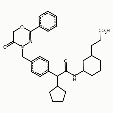 O=C(O)CCC1CCCC(NC(=O)C(c2ccc(CN3N=C(c4ccccc4)OCC3=O)cc2)C2CCCC2)C1